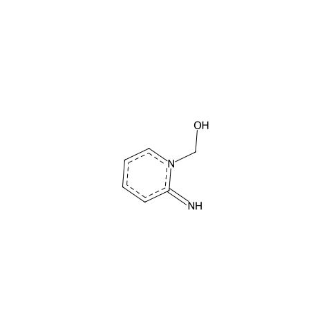 N=c1ccccn1CO